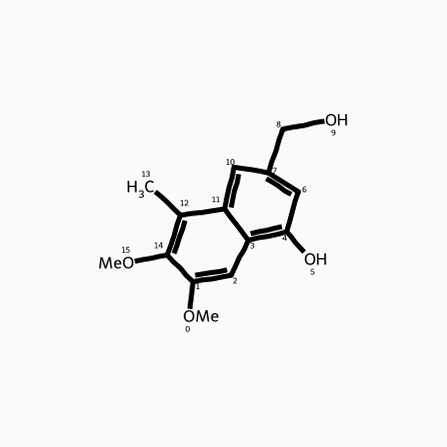 COc1cc2c(O)cc(CO)cc2c(C)c1OC